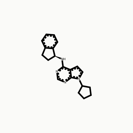 c1ccc2c(c1)CC[C@@H]2Nc1ncnc2c1ccn2C1CCCC1